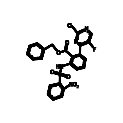 O=C(OCc1ccccc1)c1c(NS(=O)(=O)c2ccccc2[N+](=O)[O-])cccc1-c1nc(Cl)ncc1F